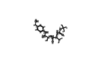 CC(C)[C@H](NC(=O)OC(C)(C)C)C(=O)N[C@@H](C)C(=O)Nc1ccc(CO)cc1